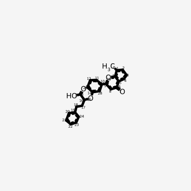 Cc1cccc2c(=O)cc(-c3cccc(OC(CCc4ccccc4)C(=O)O)c3)oc12